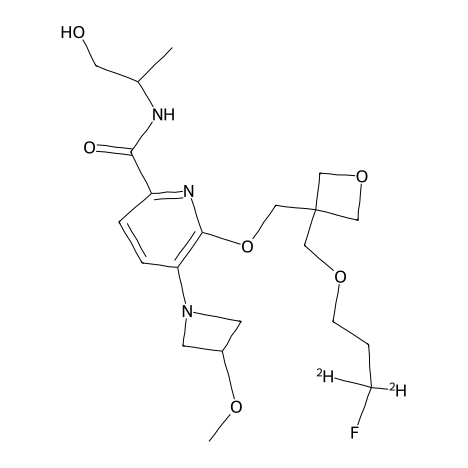 [2H]C([2H])(F)CCOCC1(COc2nc(C(=O)NC(C)CO)ccc2N2CC(OC)C2)COC1